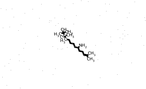 CC(C)=CCCC(N)CCCCO[Si](C)(C)C(C)(C)C